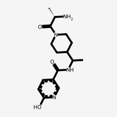 CC(NC(=O)c1ccc(O)nc1)C1CCN(C(=O)[C@H](C)N)CC1